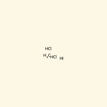 C.Cl.Cl.I